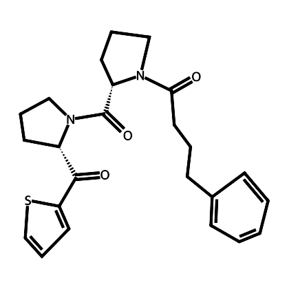 O=C(c1cccs1)[C@@H]1CCCN1C(=O)[C@@H]1CCCN1C(=O)CCCc1ccccc1